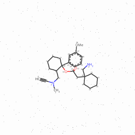 C#CN(C)CC1CCCCC1(OC(=O)CC1(CN)CCCCC1)c1cccc(OC)c1